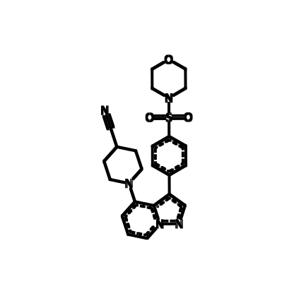 N#CC1CCN(c2cccn3ncc(-c4ccc(S(=O)(=O)N5CCOCC5)cc4)c23)CC1